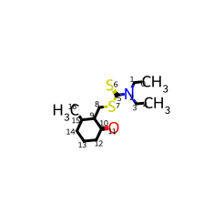 CCN(CC)C(=S)SCC1C(=O)CCCC1C